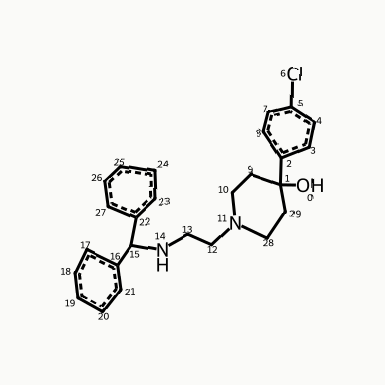 OC1(c2ccc(Cl)cc2)CCN(CCNC(c2ccccc2)c2ccccc2)CC1